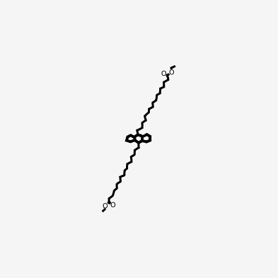 CCOC(=O)CCCCCCCCCCCCCCCCc1c2ccccc2c(CCCCCCCCCCCCCCCCC(=O)OCC)c2ccccc12